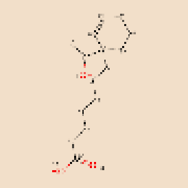 CC(O)C1(CCCCCCC(=O)O)C=CCCC1